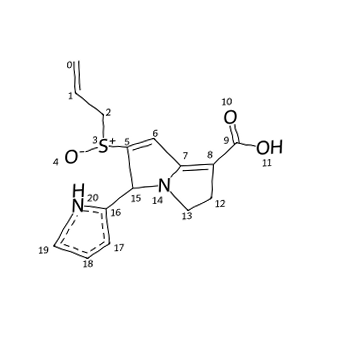 C=CC[S+]([O-])C1=CC2=C(C(=O)O)CCN2C1c1ccc[nH]1